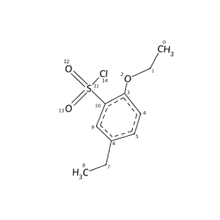 CCOc1ccc(CC)cc1S(=O)(=O)Cl